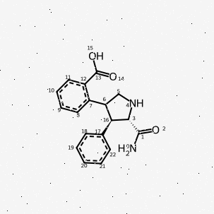 NC(=O)[C@H]1NCC(c2ccccc2C(=O)O)[C@@H]1c1ccccc1